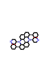 c1ccc(-c2ccc3ccc4c5c3c2n(-c2ccncc2)c2ccc3ccc(-c6ccccc6)c(c3c2-5)n4-c2ccncc2)cc1